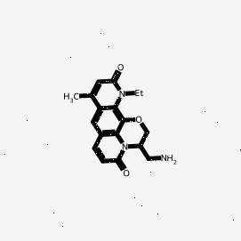 CCn1c(=O)cc(C)c2cc3ccc(=O)n4c3c(c21)OCC4CN